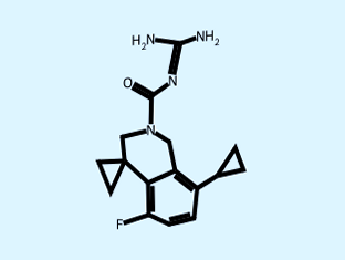 NC(N)=NC(=O)N1Cc2c(C3CC3)ccc(F)c2C2(CC2)C1